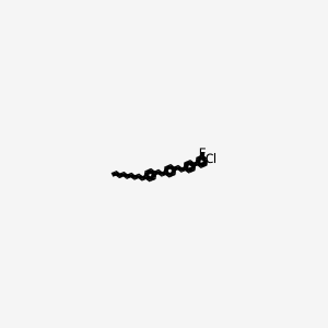 CCCCCCCCCc1ccc(CCC2CCC(CCc3ccc(-c4ccc(Cl)c(F)c4)cc3)CC2)cc1